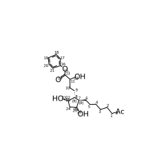 CC(=O)CCCCCC[C@@H]1[C@@H](CCC(O)C(=O)Oc2ccccc2)[C@H](O)C[C@@H]1O